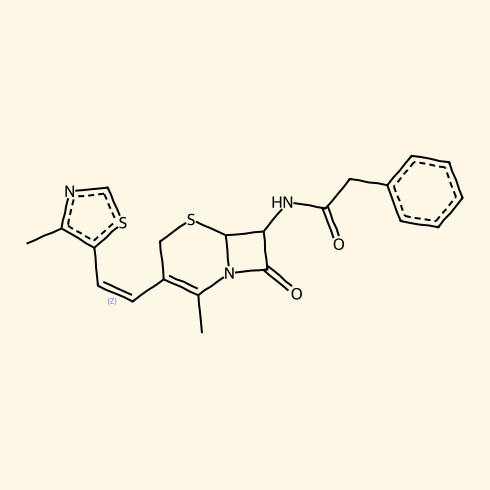 CC1=C(/C=C\c2scnc2C)CSC2C(NC(=O)Cc3ccccc3)C(=O)N12